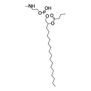 CCCCCCCCCCCCCCCCC(COP(O)OCCNC)OC(=O)CCC